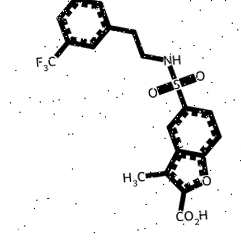 Cc1c(C(=O)O)oc2ccc(S(=O)(=O)NCCc3cccc(C(F)(F)F)c3)cc12